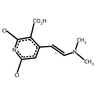 CN(C)/C=C/c1cc(Cl)nc(Cl)c1C(=O)O